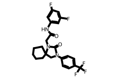 O=C(CN1C(=O)N(c2ccc(C(F)(F)F)cc2)CC12CCCCC2)Nc1cc(F)cc(F)c1